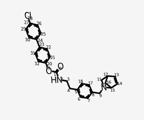 O=C(NCCc1ccc(CN2CC3C=CC2C3)cc1)Oc1ccc(-c2ccc(Cl)cc2)cc1